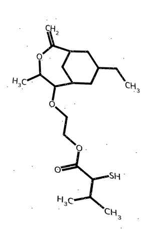 C=C1OC(C)C(OCCOC(=O)C(S)C(C)C)C2CC(CC)CC1C2